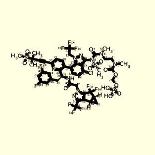 CN(CCN(C)C(=O)N(c1nn(CC(F)(F)F)c2c(-c3ccc(C#CC(C)(C)S(C)(=O)=O)nc3[C@H](Cc3cc(F)cc(F)c3)NC(=O)Cn3nc(C(F)(F)F)c4c3C(F)(F)[C@@H]3C[C@H]43)ccc(Cl)c12)S(C)(=O)=O)C(=O)OCOP(=O)(O)O